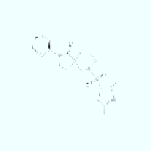 Cc1nc(C)c(S(=O)(=O)N2CCCC3(CCN(c4ccccc4)C3=O)C2)s1